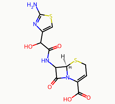 Nc1nc(C(O)C(=O)NC2C(=O)N3C(C(=O)O)=CCS[C@H]23)cs1